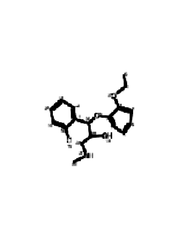 CCOc1ccccc1OC(c1ccccc1Cl)C(O)CNC